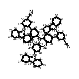 N#Cc1ccc(-n2c3ccccc3c3ccccc32)c(-c2ccc3c(c2)Oc2cc(-n4c5ccccc5c5ccccc54)cc4c2B3c2ccc(-c3cc(C#N)ccc3-n3c5ccccc5c5ccccc53)cc2O4)c1